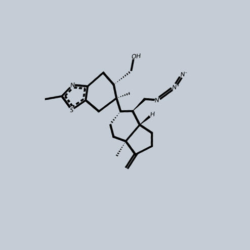 C=C1CC[C@H]2[C@H](CN=[N+]=[N-])[C@@H]([C@@]3(C)Cc4sc(C)nc4C[C@@H]3CO)CC[C@]12C